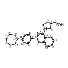 OCC1CCN(c2nc(-c3ccc(N4CCCOCC4)cc3)cc3nccnc23)C1